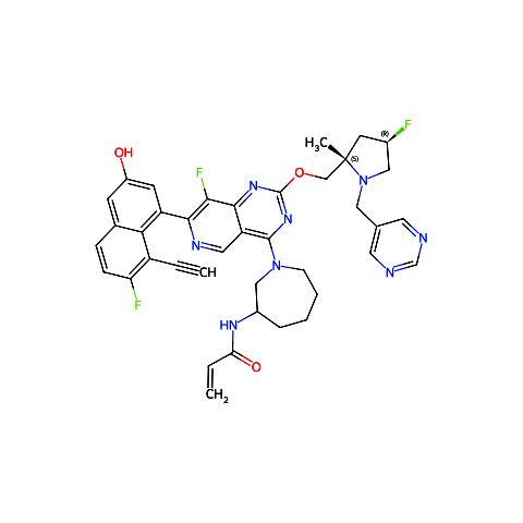 C#Cc1c(F)ccc2cc(O)cc(-c3ncc4c(N5CCCCC(NC(=O)C=C)C5)nc(OC[C@]5(C)C[C@@H](F)CN5Cc5cncnc5)nc4c3F)c12